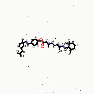 C=CC(C)(/C=C/c1ccc(OC(=O)/C=C(\C)CC/C=C(C)/C=C/C2=C(C)CCCC2(C)C)cc1)CCC=C(C)C